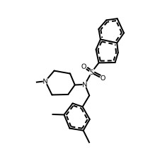 Cc1cc(C)cc(CN(C2CCN(C)CC2)S(=O)(=O)c2ccc3ccccc3c2)c1